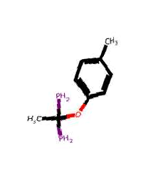 Cc1ccc(OC(C)(P)P)cc1